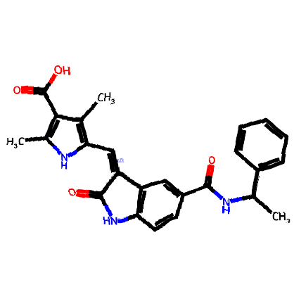 Cc1[nH]c(/C=C2\C(=O)Nc3ccc(C(=O)NC(C)c4ccccc4)cc32)c(C)c1C(=O)O